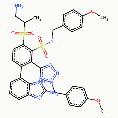 COc1ccc(CNS(=O)(=O)c2c(S(=O)(=O)C(C)CN)ccc(-c3cccc4nc(N)[nH]c34)c2-c2nnn(Cc3ccc(OC)cc3)n2)cc1